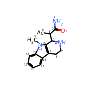 CC(=O)C(C(N)=O)C1NCCc2c1n(C)c1ccccc21